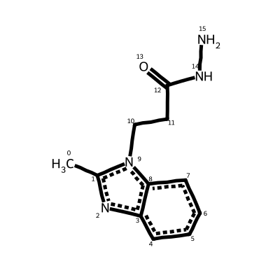 Cc1nc2ccccc2n1CCC(=O)NN